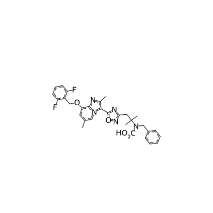 Cc1cc(OCc2c(F)cccc2F)c2nc(C)c(-c3nc(CC(C)(C)N(Cc4ccccc4)C(=O)O)no3)n2c1